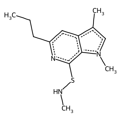 CCCc1cc2c(C)cn(C)c2c(SNC)n1